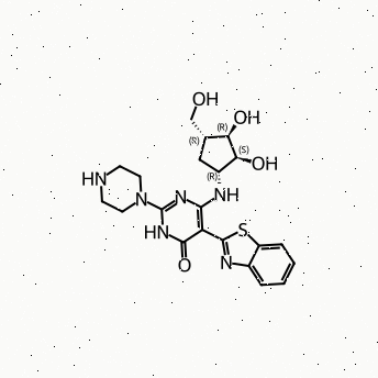 O=c1[nH]c(N2CCNCC2)nc(N[C@@H]2C[C@H](CO)[C@@H](O)[C@H]2O)c1-c1nc2ccccc2s1